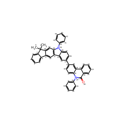 CC1(C)c2ccccc2-c2cc3c4cc(-c5ccc6c(c5)c5ccccc5c(=O)n6-c5ccccc5)ccc4n(-c4ccccc4)c3cc21